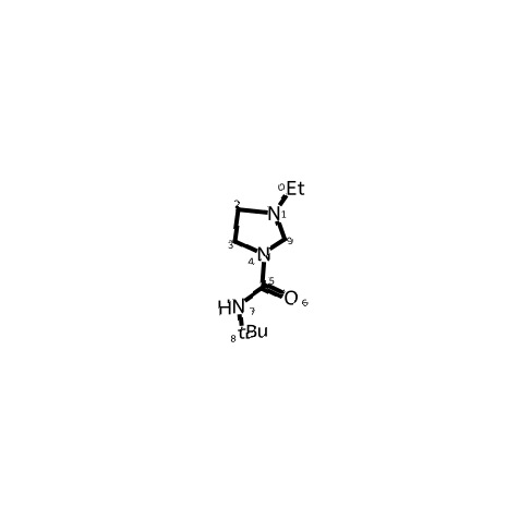 CCN1CCN(C(=O)NC(C)(C)C)C1